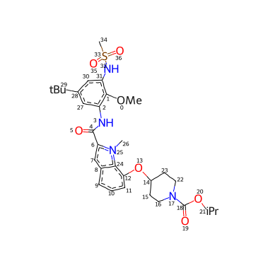 COc1c(NC(=O)c2cc3cccc(OC4CCN(C(=O)OC(C)C)CC4)c3n2C)cc(C(C)(C)C)cc1NS(C)(=O)=O